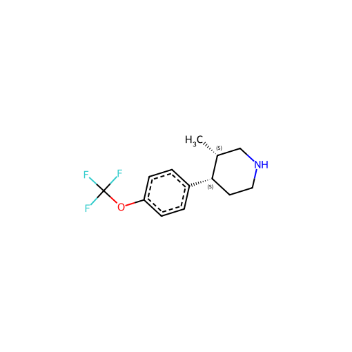 C[C@@H]1CNCC[C@@H]1c1ccc(OC(F)(F)F)cc1